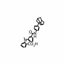 CN(c1cccc(C(=O)Nc2ccc(C34CC5CC(CC(C5)C3)C4)cc2)c1)c1ccccc1C(=O)O